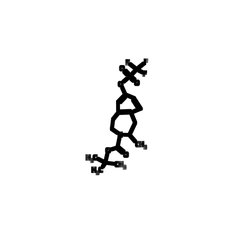 CC1Cc2ccc(OS(=O)(=O)C(F)(F)F)cc2CCN1C(=O)OC(C)(C)C